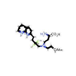 COCCN(CC[C@H](N)C(=O)O)CC(F)(F)CCc1ccc2cccnc2n1